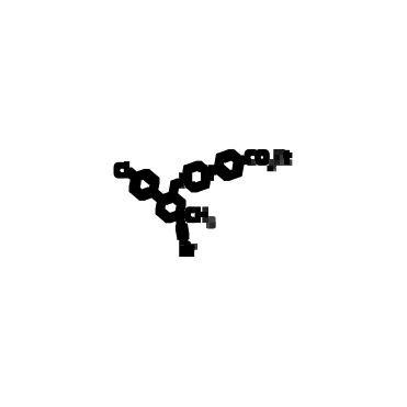 CCOC(=O)c1ccc(N2CCN(CC3=C(c4ccc(Cl)cc4)CCC(C)(C#CBr)C3)CC2)cc1